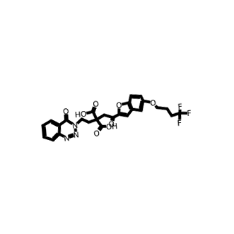 O=C(CC(CCn1nnc2ccccc2c1=O)(C(=O)O)C(=O)O)c1cc2cc(OCCCC(F)(F)F)ccc2o1